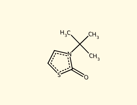 CC(C)(C)n1ccsc1=O